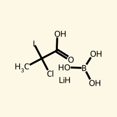 CC(Cl)(I)C(=O)O.OB(O)O.[LiH]